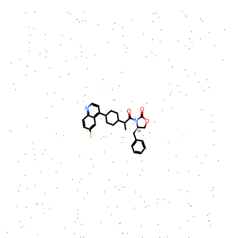 CC(C(=O)N1C(=O)OC[C@H]1Cc1ccccc1)C1CCC(c2ccnc3ccc(F)cc23)CC1